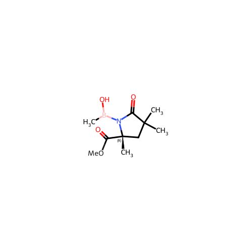 COC(=O)[C@@]1(C)CC(C)(C)C(=O)N1B(C)O